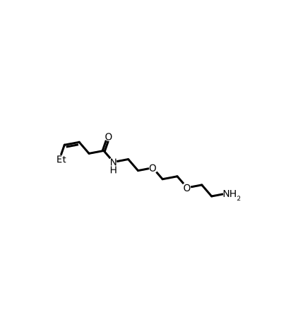 CC/C=C\CC(=O)NCCOCCOCCN